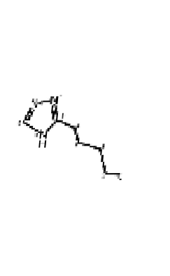 CCCC[CH]c1nnc[nH]1